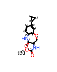 CC(C)(C)OC(=O)NC1COc2cc(C3CC3)ccc2NC1=O